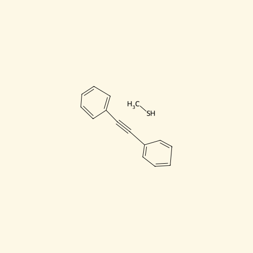 C(#Cc1ccccc1)c1ccccc1.CS